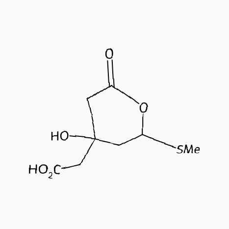 CSC1CC(O)(CC(=O)O)CC(=O)O1